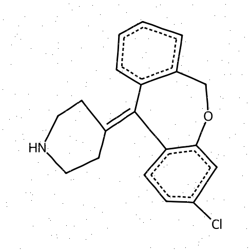 Clc1ccc2c(c1)OCc1ccccc1C2=C1CCNCC1